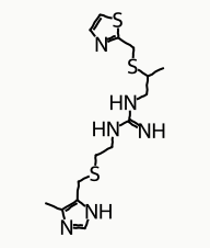 Cc1nc[nH]c1CSCCNC(=N)NCC(C)SCc1nccs1